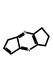 C1=Cc2nc3c(nc2C1)CCC3